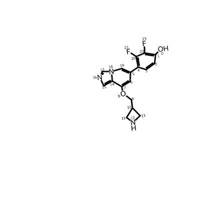 Oc1ccc(-c2cc(OCC3CNC3)c3cncn3c2)c(F)c1F